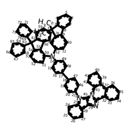 CC1(C)c2ccccc2-c2ccc(N(c3ccc(-c4ccc(-n5c6ccccc6c6nc7c8ccccc8c8ccccc8n7c65)cc4)cc3)c3cccc4c3-c3ccccc3C4(c3ccccc3)c3ccccc3)cc21